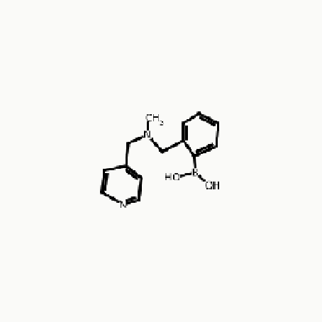 CN(Cc1ccncc1)Cc1ccccc1B(O)O